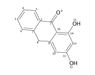 O=C1c2ccccc2Cc2cc(O)cc(O)c21